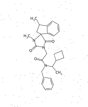 CC1CC2(C(=O)N(CC(=O)N(Cc3ccccc3)C(C)C3CCC3)C(=O)N2C)c2ccccc21